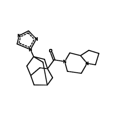 O=C(N1CCN2CCCC2C1)C12CC3CC(C1)CC(n1cncn1)(C3)C2